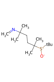 C=NC(C)(C)CCC(C)(C)[S+]([O-])C(C)(C)C